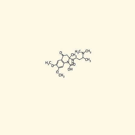 COc1cc2c(cc1OC)N(C(=O)O)C(C)(NCCC(C)N(C)C)CC2=O